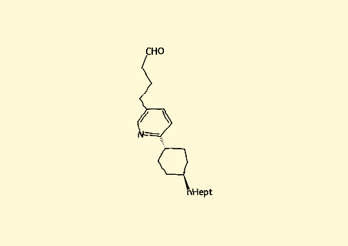 CCCCCCC[C@H]1CC[C@H](c2ccc(CCCC=O)cn2)CC1